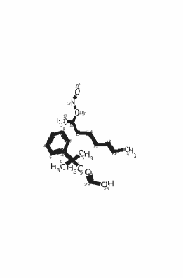 CC(C)(C)c1ccccc1.CCCCCCC(C)ON=O.O=CO